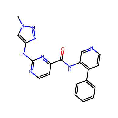 Cn1cc(Nc2nccc(C(=O)Nc3cnccc3-c3ccccc3)n2)nn1